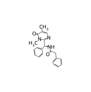 Cc1cnc([C@@H](NC(=O)Cc2ccccc2)c2ccccc2)n(C)c1=O